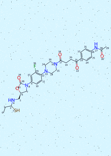 CCC(S)NC[C@@H]1CN(c2ccc(N3CCN(C(=O)CCC(=O)c4ccc(NC(C)=O)cc4)CC3)c(F)c2)C(=O)O1